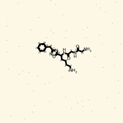 NCCCCC(NC(=O)CNC(=O)CN)c1nc(Cc2ccccc2)no1